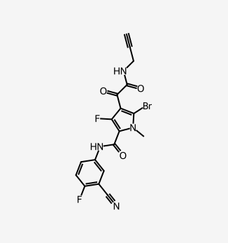 C#CCNC(=O)C(=O)c1c(F)c(C(=O)Nc2ccc(F)c(C#N)c2)n(C)c1Br